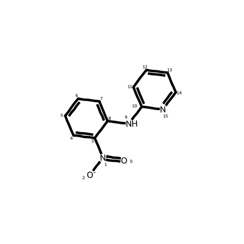 O=[N+]([O-])c1ccccc1Nc1ccccn1